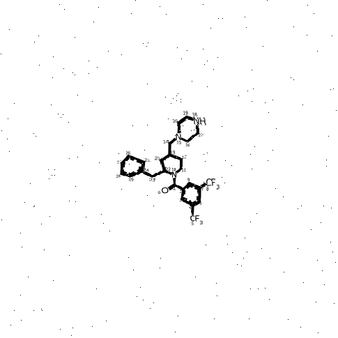 O=C(c1cc(C(F)(F)F)cc(C(F)(F)F)c1)N1CCC(CN2CCNCC2)CC1Cc1ccccc1